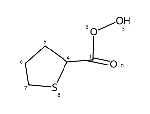 O=C(OO)C1CCCS1